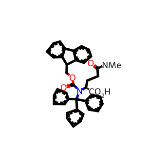 CNC(=O)CC[C@@H](C(=O)O)N(C(=O)OCC1c2ccccc2-c2ccccc21)C(c1ccccc1)(c1ccccc1)c1ccccc1